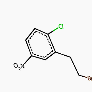 O=[N+]([O-])c1ccc(Cl)c(CCBr)c1